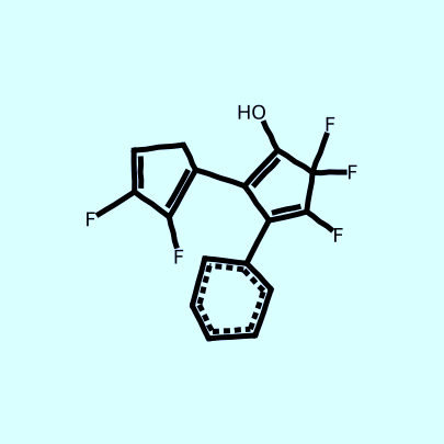 OC1=C(C2=C(F)C(F)=CC2)C(c2ccccc2)=C(F)C1(F)F